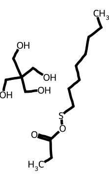 CCCCCCCCSOC(=O)CC.OCC(CO)(CO)CO